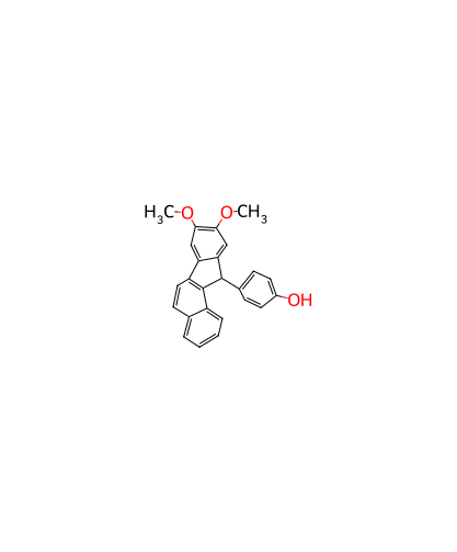 COc1cc2c(cc1OC)C(c1ccc(O)cc1)c1c-2ccc2ccccc12